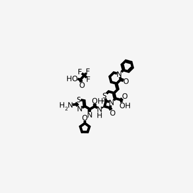 Nc1nc(C(=NOC2CCCC2)C(=O)N[C@@H]2C(=O)N3C(C(=O)O)=C(C=C4CCCN(c5ccccc5)C4=O)CS[C@H]23)cs1.O=C(O)C(F)(F)F